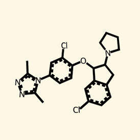 Cc1nnc(C)n1-c1ccc(OC2c3cc(Cl)ccc3CC2N2CCCC2)c(Cl)c1